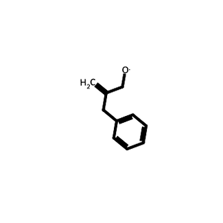 C=C(C[O])Cc1ccccc1